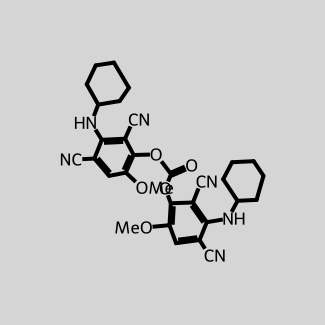 COc1cc(C#N)c(NC2CCCCC2)c(C#N)c1OC(=O)Oc1c(OC)cc(C#N)c(NC2CCCCC2)c1C#N